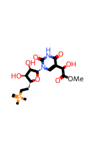 C=P(C)(C)CC[C@H]1O[C@@H](n2cc(C(O)C(=O)OC)c(=O)[nH]c2=O)[C@H](O)[C@@H]1O